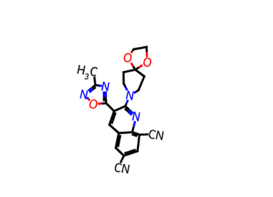 Cc1noc(-c2cc3cc(C#N)cc(C#N)c3nc2N2CCC3(CC2)OCCO3)n1